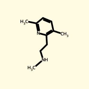 CNCCc1nc(C)ccc1C